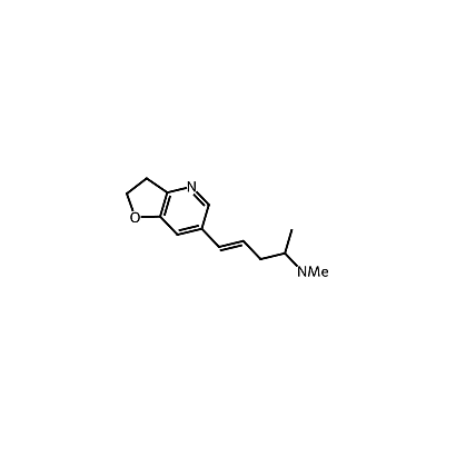 CNC(C)C/C=C/c1cnc2c(c1)OCC2